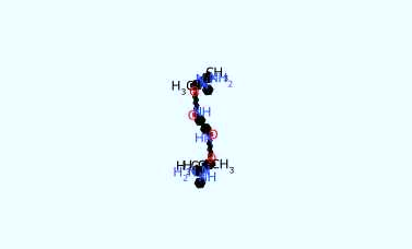 C=C1C=C(OCCCCCCNC(=O)c2ccc(-c3ccc(C(=O)NCCCCCCOc4cc5c(cc4C)nc4cc(C)c(N)cc4[n+]5-c4ccccc4)cc3)cc2)C(C)=C/C1=N/c1cc(C)c(N)cc1Nc1ccccc1